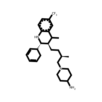 CC1c2cc(C(F)(F)F)ccc2N[C@@H](C2C=CC=CC2)[C@@H]1CC[C@@H](C)CN1CCC(N)CC1